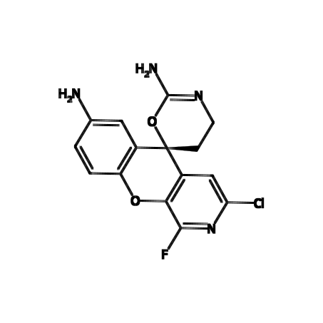 NC1=NCC[C@]2(O1)c1cc(N)ccc1Oc1c2cc(Cl)nc1F